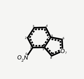 O=[N+]([O-])c1cccc2cocc12